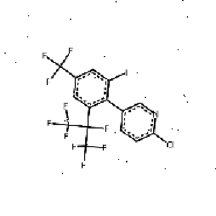 FC(F)(F)c1[c]c(I)c(-c2ccc(Cl)nc2)c(C(F)(C(F)(F)F)C(F)(F)F)c1